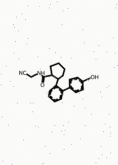 N#CCNC(=O)C1CCCCC1c1ccccc1-c1ccc(O)cc1